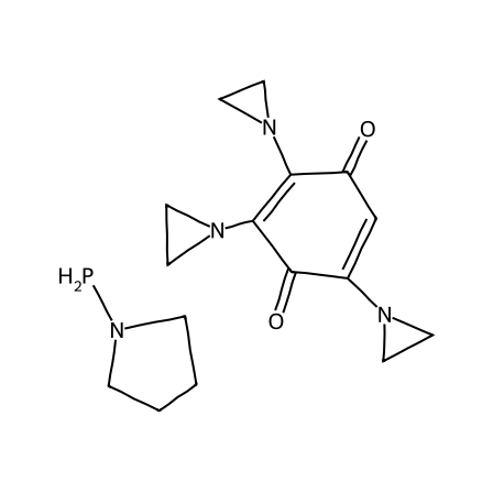 O=C1C=C(N2CC2)C(=O)C(N2CC2)=C1N1CC1.PN1CCCC1